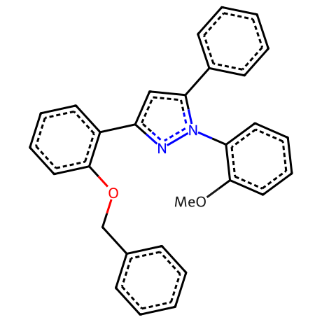 COc1ccccc1-n1nc(-c2ccccc2OCc2ccccc2)cc1-c1ccccc1